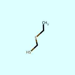 CCSCS